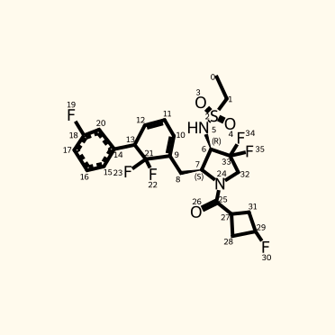 CCS(=O)(=O)N[C@@H]1[C@H](CC2=CC=CC(c3cccc(F)c3)C2(F)F)N(C(=O)C2CC(F)C2)CC1(F)F